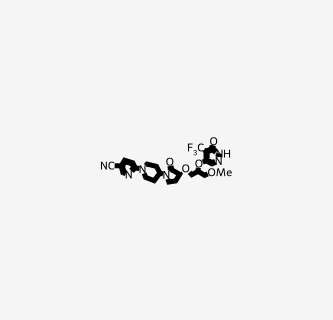 COCC(CO[C@@H]1CCN(C2CCN(c3ccc(C#N)cn3)CC2)C1=O)Oc1cn[nH]c(=O)c1C(F)(F)F